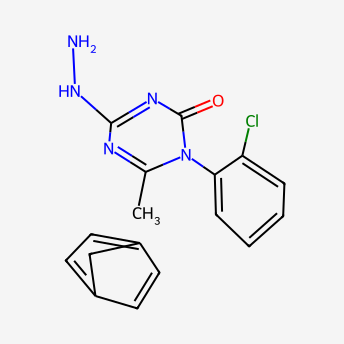 C1=CC2=CC=C1C2.Cc1nc(NN)nc(=O)n1-c1ccccc1Cl